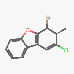 C[C@H]1C(Cl)=Cc2c(oc3ccccc23)C1Br